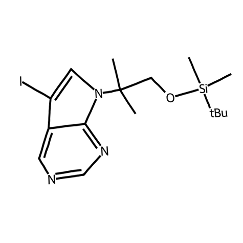 CC(C)(CO[Si](C)(C)C(C)(C)C)n1cc(I)c2cncnc21